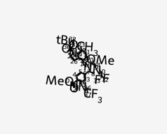 COC(=O)c1ccc(C2CN(CC(F)F)CCN2Cc2c(OC)cc(C)c3c2ccn3C(=O)OC(C)(C)C)cc1NCC(F)(F)F